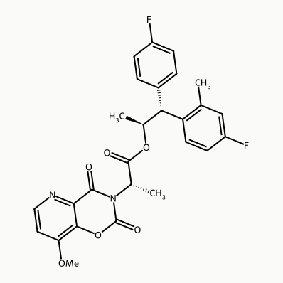 COc1ccnc2c(=O)n([C@@H](C)C(=O)O[C@@H](C)[C@H](c3ccc(F)cc3)c3ccc(F)cc3C)c(=O)oc12